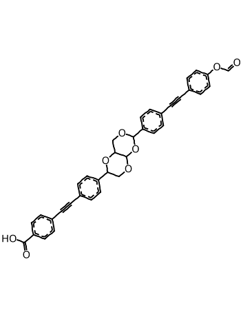 O=COc1ccc(C#Cc2ccc(C3OCC4OC(c5ccc(C#Cc6ccc(C(=O)O)cc6)cc5)COC4O3)cc2)cc1